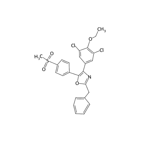 CCOc1c(Cl)cc(-c2nc(Cc3ccccc3)oc2-c2ccc(S(C)(=O)=O)cc2)cc1Cl